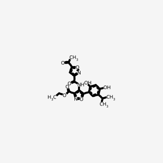 CCOC(=O)c1noc(-c2cc(C(C)C)c(O)cc2O)c1NC(=O)c1cc(C(C)=O)on1